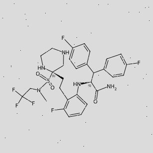 CN(CC(F)(F)F)S(=O)(=O)[C@@]1(CCc2c(F)cccc2N[C@H](C(N)=O)C(c2ccc(F)cc2)c2ccc(F)cc2)CNCCN1